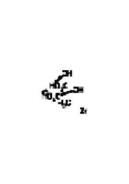 O.O=C(O)O.O=C(O)O.[O].[Zr]